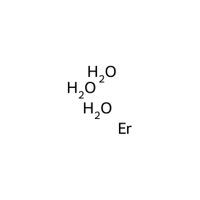 O.O.O.[Er]